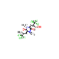 CC(/C=C1\C(=O)N(C)C(CC(CO)C(Cl)(Cl)Cl)C(=O)N1C)C(Cl)(Cl)Cl